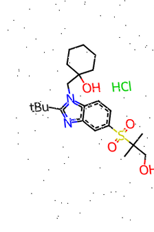 CC(C)(C)c1nc2cc(S(=O)(=O)C(C)(C)CO)ccc2n1CC1(O)CCCCC1.Cl